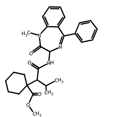 COC(=O)C1(C(C(=O)NC2N=C(c3ccccc3)c3ccccc3N(C)C2=O)C(C)C)CCCCC1